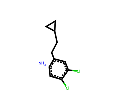 Clc1ccc(CCC2CC2)cc1Cl.N